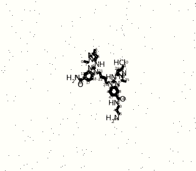 CCn1nc(C)cc1Nc1nc2cc(C(N)=O)ccc2n1C/C=C/Cn1c(Nc2cc(C)nn2CC)nc2cc(C(=O)NCCCN)ccc21.Cl